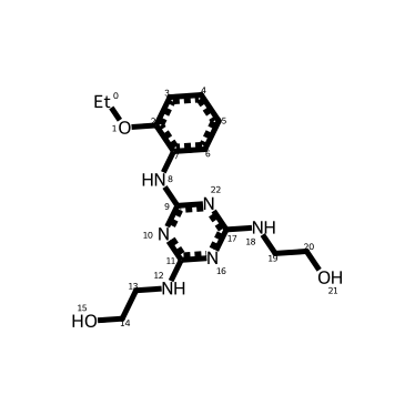 CCOc1ccccc1Nc1nc(NCCO)nc(NCCO)n1